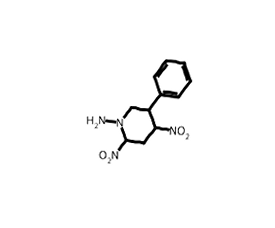 NN1CC(c2ccccc2)C([N+](=O)[O-])CC1[N+](=O)[O-]